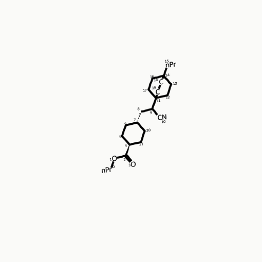 CCCOC(=O)[C@H]1CC[C@H](CC(C#N)C23CCC(CCC)(CC2)CC3)CC1